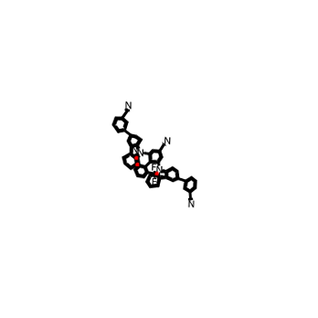 N#Cc1cccc(-c2ccc3c(c2)c2ccccc2n3-c2cc(C#N)cc(-n3c4ccccc4c4cc(-c5cccc(C#N)c5)ccc43)c2-c2c(C#N)cccc2C(F)(F)F)c1